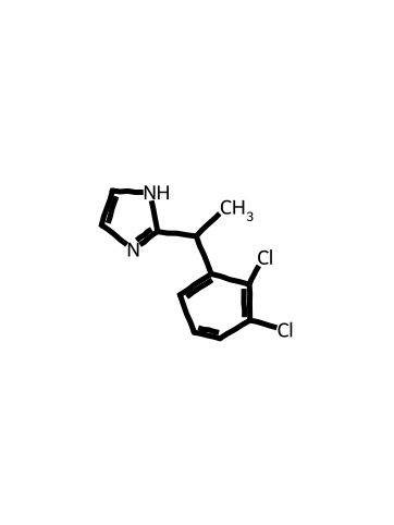 CC(c1ncc[nH]1)c1cccc(Cl)c1Cl